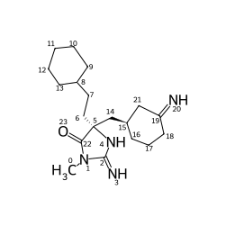 CN1C(=N)N[C@](CCC2CCCCC2)(C[C@@H]2CCCC(=N)C2)C1=O